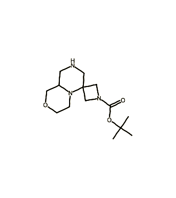 CC(C)(C)OC(=O)N1CC2(CNCC3COCCN32)C1